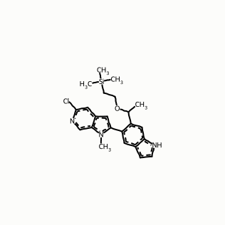 CC(OCC[Si](C)(C)C)c1cc2[nH]ccc2cc1-c1cc2cc(Cl)ncc2n1C